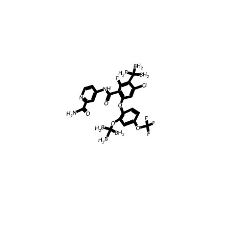 BC(B)(B)Oc1cc(OC(F)(F)F)ccc1Oc1cc(Cl)c(C(B)(B)B)c(F)c1C(=O)Nc1ccnc(C(N)=O)c1